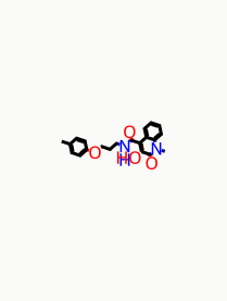 Cc1ccc(OCCCNC(=O)c2c(O)c(=O)n(C)c3ccccc23)cc1